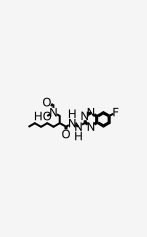 CCCCCC(CN(O)C=O)C(=O)NNc1nnc2cc(F)ccc2n1